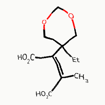 CCC1(/C(C(=O)O)=C(\C)C(=O)O)COCOC1